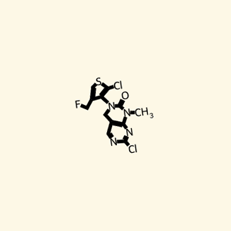 CN1C(=O)N(c2c(CF)csc2Cl)Cc2cnc(Cl)nc21